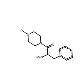 CNC(Cc1ccccc1)C(=O)N1CC[S+]([O-])CC1